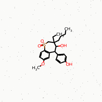 CCCCC1(CC)CS(=O)(=O)c2ccc(OC)cc2C(c2ccc(O)cc2)C1O